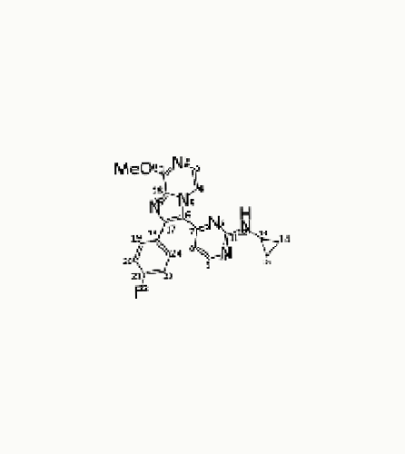 COc1nccn2c(-c3ccnc(NC4CC4)n3)c(-c3ccc(F)cc3)nc12